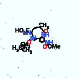 COC(=O)Nc1ccc2c(c1)NC(=O)CC(C)C=CC[C@H](NC(=O)O)c1nc-2cn1COCC[Si](C)(C)C